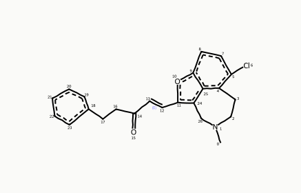 CN1CCc2c(Cl)ccc3oc(/C=C/C(=O)CCc4ccccc4)c(c23)C1